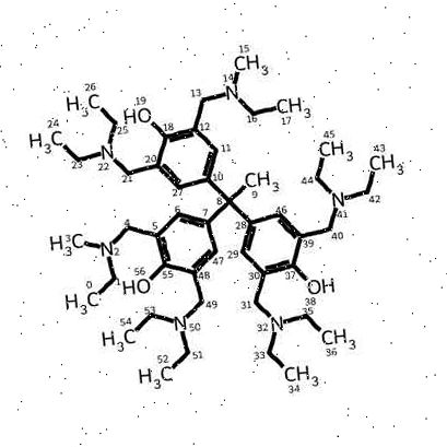 CCN(C)Cc1cc(C(C)(c2cc(CN(C)CC)c(O)c(CN(CC)CC)c2)c2cc(CN(CC)CC)c(O)c(CN(CC)CC)c2)cc(CN(CC)CC)c1O